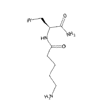 CC(C)C[C@H](NC(=O)CCCCN)C(N)=O